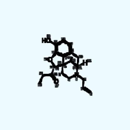 C=CCN1CC[C@]23c4c(ccc(O)c4O[C@H]2C(=O)CC)C[C@@H]1C3C